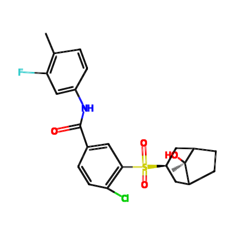 Cc1ccc(NC(=O)c2ccc(Cl)c(S(=O)(=O)[C@H]3CC4CCC(C3)[C@@]4(C)O)c2)cc1F